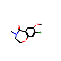 COc1cc2c(cc1Br)OCCN(C)C2=O